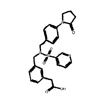 O=C(O)Cc1cccc(CN(Cc2ccc(N3CCCC3=O)cc2)S(=O)(=O)c2cccnc2)c1